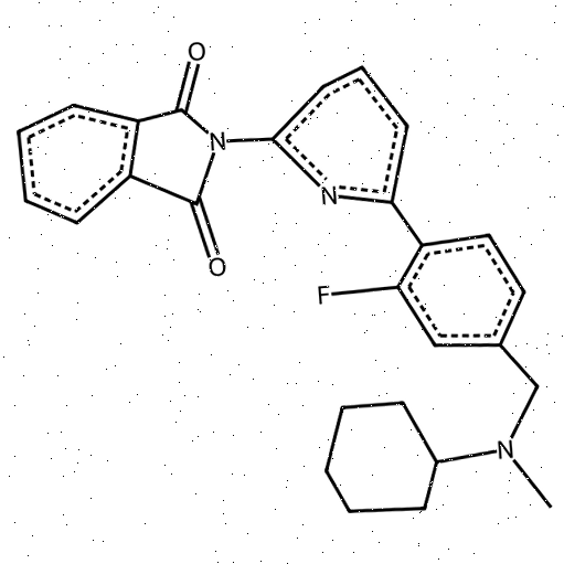 CN(Cc1ccc(-c2cccc(N3C(=O)c4ccccc4C3=O)n2)c(F)c1)C1CCCCC1